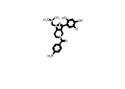 CN(C)Cn1nc(-c2cc(Cl)c(O)cc2O)c2c1CCN(C(=O)c1ccc(N)cc1)C2